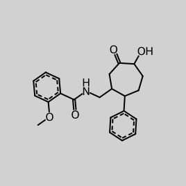 COc1ccccc1C(=O)NCC1CC(=O)C(O)CCC1c1ccccc1